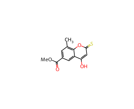 COC(=O)c1cc(C)c2oc(=S)cc(O)c2c1